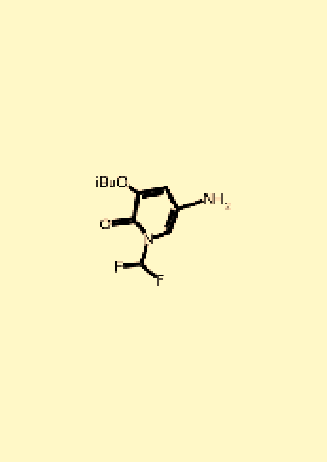 CC(C)COc1cc(N)cn(C(F)F)c1=O